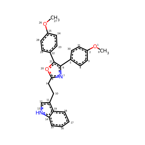 COc1ccc(-c2nc(CCc3c[nH]c4ccccc34)oc2-c2ccc(OC)cc2)cc1